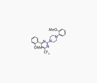 COc1ccccc1-c1cc(C(F)(F)F)nc(N2CCN(c3ccccc3OC)CC2)n1